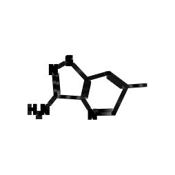 Cc1cnc2c(N)nsc2c1